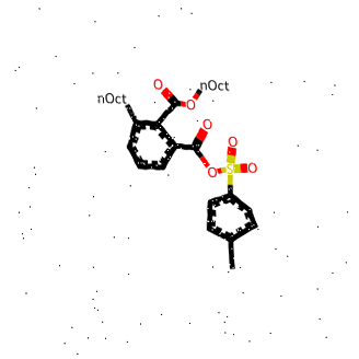 CCCCCCCCOC(=O)c1c(CCCCCCCC)cccc1C(=O)OS(=O)(=O)c1ccc(C)cc1